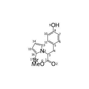 COC(=O)C(Cc1ccc(O)cc1)n1cccc1Br